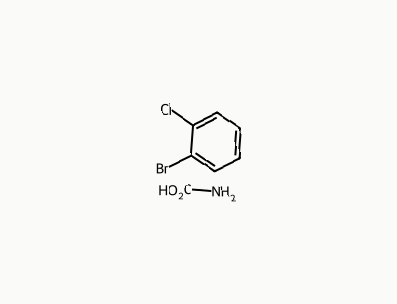 Clc1ccccc1Br.NC(=O)O